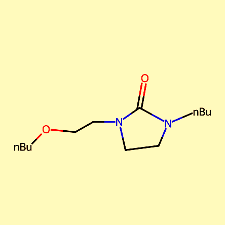 CCCCOCCN1CCN(CCCC)C1=O